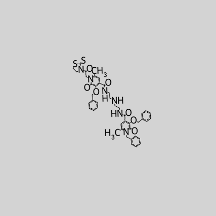 Cc1cc(C(=O)NCCNCCNC(=O)c2cc(C)n(Cc3ccccc3)c(=O)c2OCc2ccccc2)c(OCc2ccccc2)c(=O)n1CC(=O)N1CCSC1=S